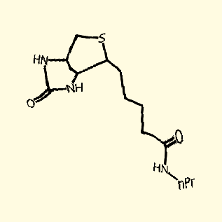 CCCNC(=O)CCCCC1SCC2NC(=O)NC21